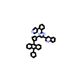 c1ccc(-c2c3ccccc3c(-c3cccc(-c4cc(-c5cnc6ccccc6c5)nc(-c5ccccc5-c5ccncc5)n4)c3)c3ccccc23)cc1